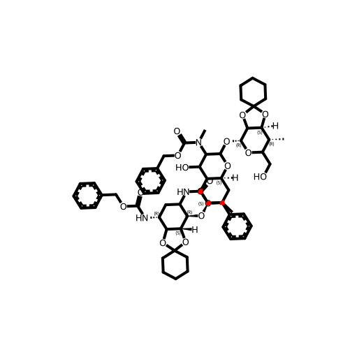 CC1C[C@@H]2OC(O[C@H]3OC(CO)[C@@H](C)[C@@H]4OC5(CCCCC5)OC34)C(N(C)C(=O)OCc3ccccc3)C(O)C2O[C@@H]1O[C@@H]1C(NC(=O)OCc2ccccc2)C[C@@H](NC(=O)OCc2ccccc2)C2OC3(CCCCC3)O[C@H]21